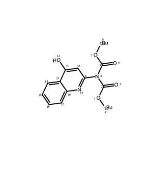 CC(C)(C)OC(=O)N(C(=O)OC(C)(C)C)c1cc(O)c2ccccc2n1